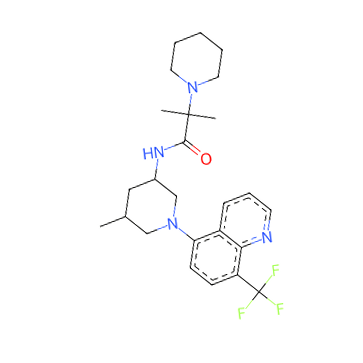 CC1CC(NC(=O)C(C)(C)N2CCCCC2)CN(c2ccc(C(F)(F)F)c3ncccc23)C1